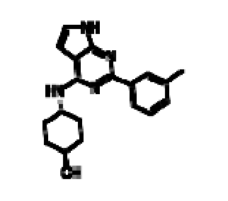 Cc1cccc(-c2nc(N[C@H]3CC[C@H](O)CC3)c3cc[nH]c3n2)c1